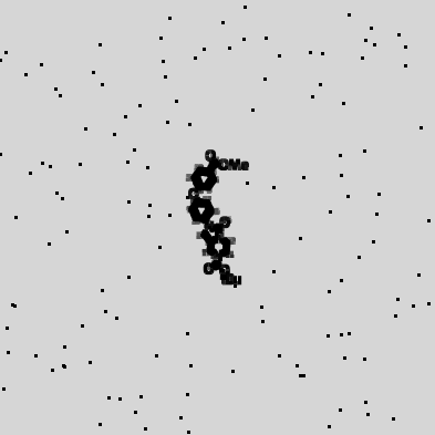 COC(=O)c1ccc(Oc2ccc(N3CC4CN(C(=O)OC(C)(C)C)CCN4C3=O)cc2)cc1